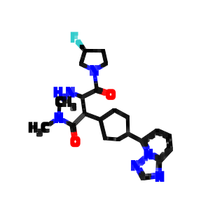 CN(C)C(=O)C(C1CCC(c2cccc3ncnn23)CC1)C(N)C(=O)N1CC[C@H](F)C1